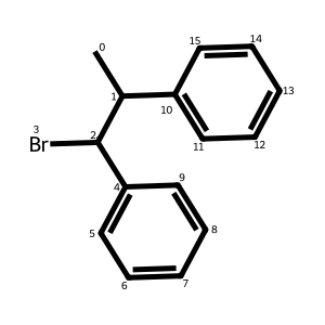 CC([C](Br)c1ccccc1)c1ccccc1